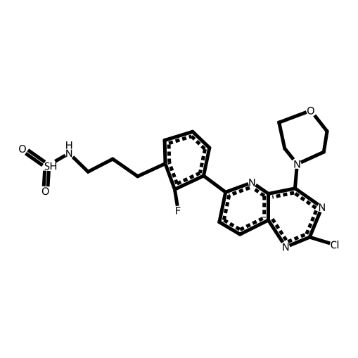 O=[SH](=O)NCCCc1cccc(-c2ccc3nc(Cl)nc(N4CCOCC4)c3n2)c1F